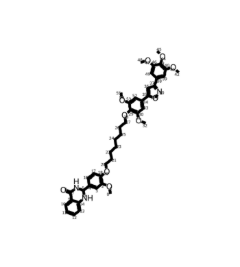 COc1cc(C2NC(=O)c3ccccc3N2)ccc1OCCCCCCCCOc1c(OC)cc(-c2cc(-c3cc(OC)c(OC)c(OC)c3)no2)cc1OC